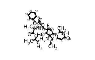 C=C=C[C@]1(N)[C@H](N2C=CC(=O)NC2=C)O[C@](F)(COP(=O)(NC(C)C(=O)OC(C)C)Oc2ccccc2)[C@H]1O